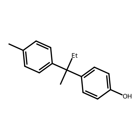 CCC(C)(c1ccc(C)cc1)c1ccc(O)cc1